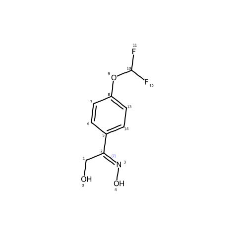 OC/C(=N\O)c1ccc(OC(F)F)cc1